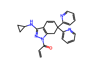 C=CC(=O)n1nc(NC2CC2)c2c1CC(c1ccccn1)(c1ccccn1)C=C2